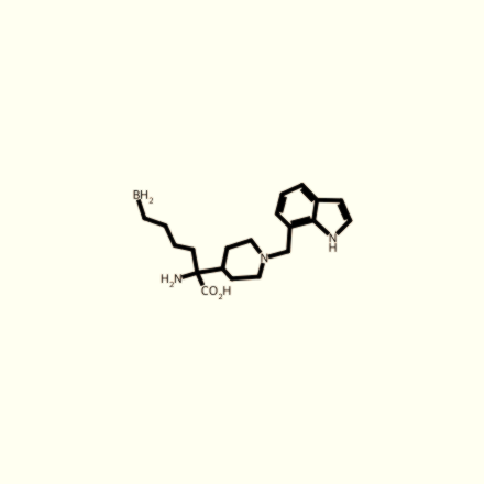 BCCCCC(N)(C(=O)O)C1CCN(Cc2cccc3cc[nH]c23)CC1